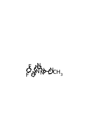 Cc1ccc(-c2cnn(-c3cnn4ccc(N5CCC[C@@H]5c5cc(F)ccc5F)nc34)c2)cn1